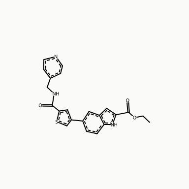 CCOC(=O)c1cc2cc(-c3csc(C(=O)NCc4ccncc4)c3)ccc2[nH]1